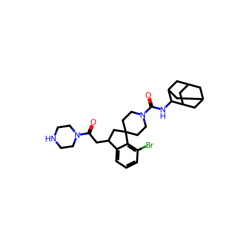 O=C(CC1CC2(CCN(C(=O)NC3C4CC5CC(C4)CC3C5)CC2)c2c(Br)cccc21)N1CCNCC1